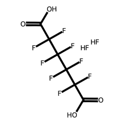 F.F.O=C(O)C(F)(F)C(F)(F)C(F)(F)C(F)(F)C(=O)O